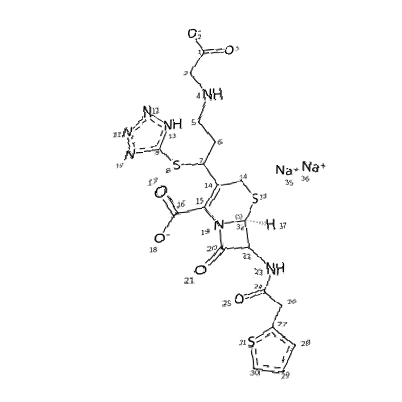 O=C([O-])CNCCC(Sc1nnn[nH]1)C1=C(C(=O)[O-])N2C(=O)C(NC(=O)Cc3cccs3)[C@@H]2SC1.[Na+].[Na+]